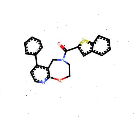 O=C(c1cc2ccccc2s1)N1CCOc2nccc(-c3ccccc3)c2C1